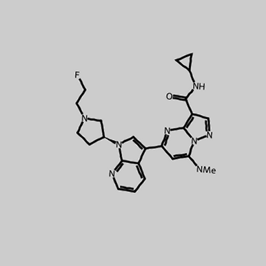 CNc1cc(-c2cn([C@H]3CCN(CCF)C3)c3ncccc23)nc2c(C(=O)NC3CC3)cnn12